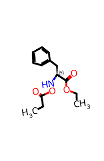 CCOC(=O)[C@H](Cc1ccccc1)NOC(=O)CC